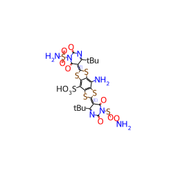 CC(C)(C)C1=NC(=O)N(S(N)(=O)=O)C(=O)/C1=C1/Sc2c(N)c3c(c(S(=O)(=O)O)c2S1)S/C(=C1/C(=O)N(SOON)C(=O)N=C1C(C)(C)C)S3